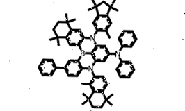 Cc1cc2c(cc1N1c3cc4c(cc3B3c5cc(-c6ccccc6)ccc5N(c5ccc6c(c5C)C(C)(C)CCC6(C)C)c5cc(N(c6ccccc6)c6ccccc6)cc1c53)C(C)(C)CCC4(C)C)C(C)(C)CC2(C)C